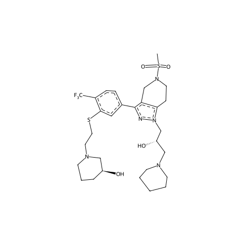 CS(=O)(=O)N1CCc2c(c(-c3ccc(C(F)(F)F)c(SCCN4CCC[C@H](O)C4)c3)nn2C[C@@H](O)CN2CCCCC2)C1